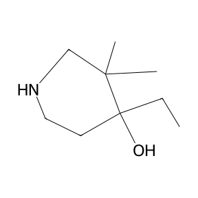 CCC1(O)CCNCC1(C)C